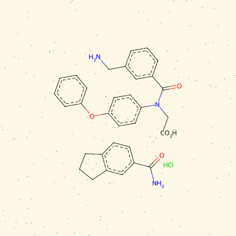 Cl.NC(=O)c1ccc2c(c1)CCC2.NCc1cccc(C(=O)N(CC(=O)O)c2ccc(Oc3ccccc3)cc2)c1